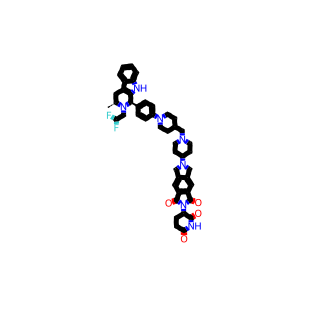 C[C@@H]1Cc2c([nH]c3ccccc23)[C@@H](c2ccc(N3CCC(CN4CCC(N5Cc6cc7c(cc6C5)C(=O)N(C5CCC(=O)NC5=O)C7=O)CC4)CC3)cc2)N1CC(F)F